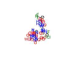 COC(=O)CSc1cc(/N=c2\sc(=O)n3n2CCCC3)c(F)cc1Cl.COc1cc(OC)nc(NC(=O)NS(=O)(=O)c2ncccc2C(=O)N(C)C)n1.COc1nc(C)nc(NC(=O)NS(=O)(=O)c2ccccc2CCC(F)(F)F)n1.CP(=O)(O)CCC(N)C(=O)O